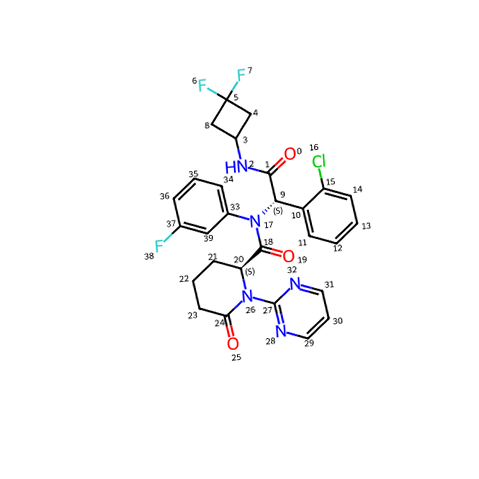 O=C(NC1CC(F)(F)C1)[C@H](c1ccccc1Cl)N(C(=O)[C@@H]1CCCC(=O)N1c1ncccn1)c1cccc(F)c1